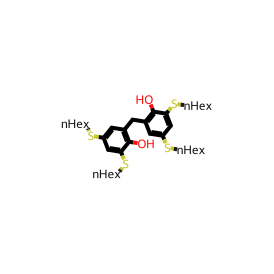 CCCCCCSc1cc(Cc2cc(SCCCCCC)cc(SCCCCCC)c2O)c(O)c(SCCCCCC)c1